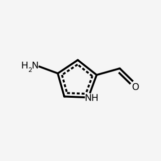 Nc1c[nH]c(C=O)c1